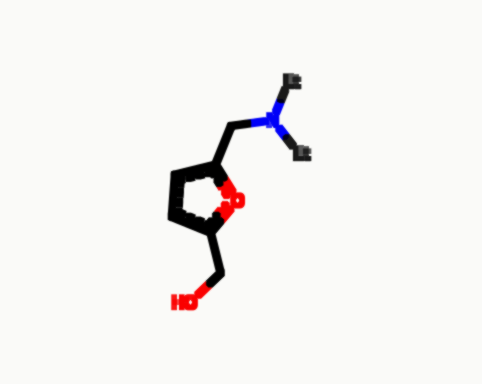 CCN(CC)Cc1ccc(CO)o1